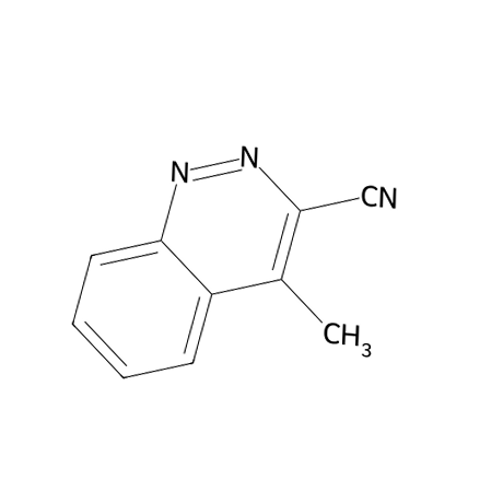 Cc1c(C#N)nnc2ccccc12